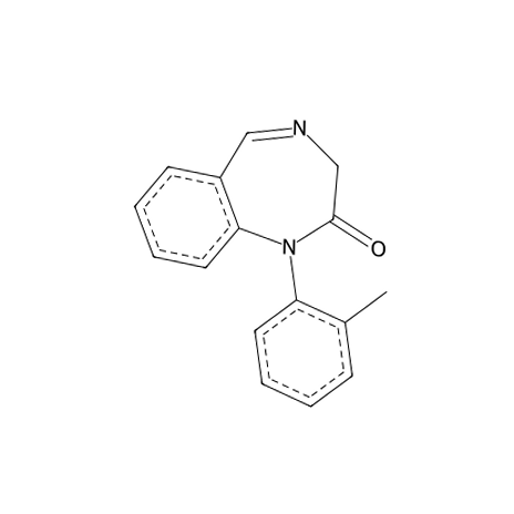 Cc1ccccc1N1C(=O)CN=Cc2ccccc21